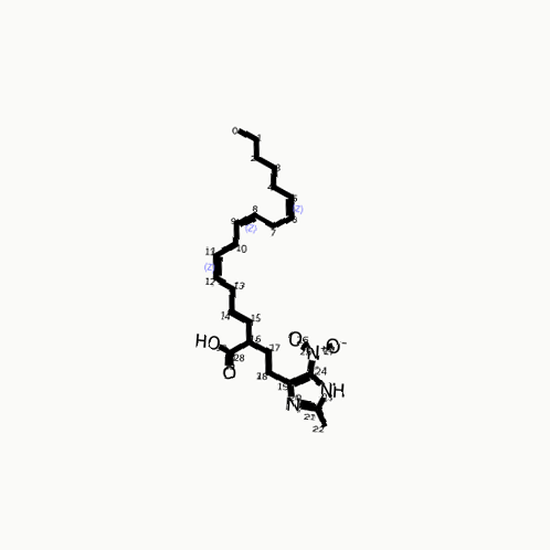 CCCCC/C=C\C/C=C\C/C=C\CCCC(CCc1nc(C)[nH]c1[N+](=O)[O-])C(=O)O